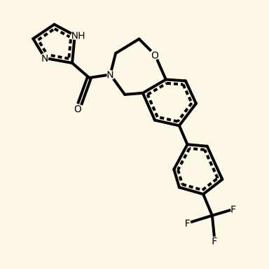 O=C(c1ncc[nH]1)N1CCOc2ccc(-c3ccc(C(F)(F)F)cc3)cc2C1